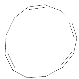 [C]1=CCCC=CCCC=CC=CC1